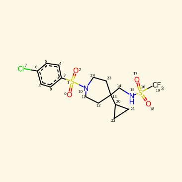 O=S(=O)(c1ccc(Cl)cc1)N1CCC(CNS(=O)(=O)C(F)(F)F)(C2CC2)CC1